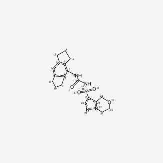 O=C(Nc1c2c(cc3c1CCC3)CCC2)NS(=O)(=O)c1cnn2c1COCC2